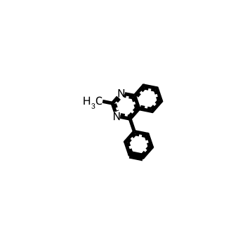 Cc1nc(-c2cc#ccc2)c2ccccc2n1